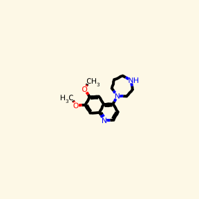 COc1cc2nccc(N3CCCNCC3)c2cc1OC